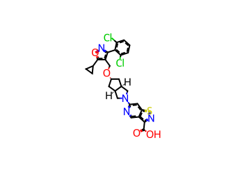 O=C(O)c1nsc2cc(N3C[C@H]4C[C@H](OCc5c(-c6c(Cl)cccc6Cl)noc5C5CC5)C[C@H]4C3)ncc12